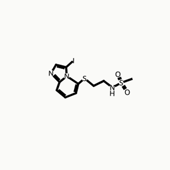 CS(=O)(=O)NCCSc1cccc2ncc(I)n12